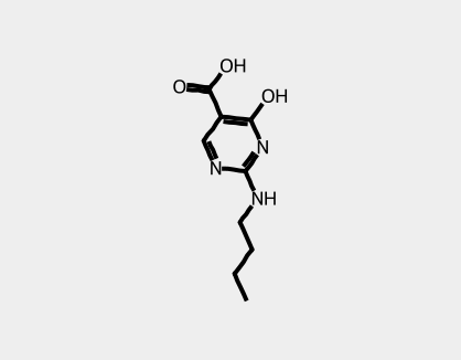 CCCCNc1ncc(C(=O)O)c(O)n1